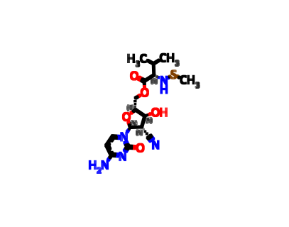 CSN[C@H](C(=O)OC[C@H]1O[C@H](n2ccc(N)nc2=O)[C@@H](C#N)[C@@H]1O)C(C)C